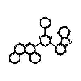 c1ccc(-c2nc(-c3cc4ccc5ccccc5c4c4ccccc34)nc(-c3cccc4oc5ccccc5c34)n2)cc1